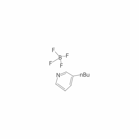 CCCCc1cccnc1.F[B-](F)(F)F